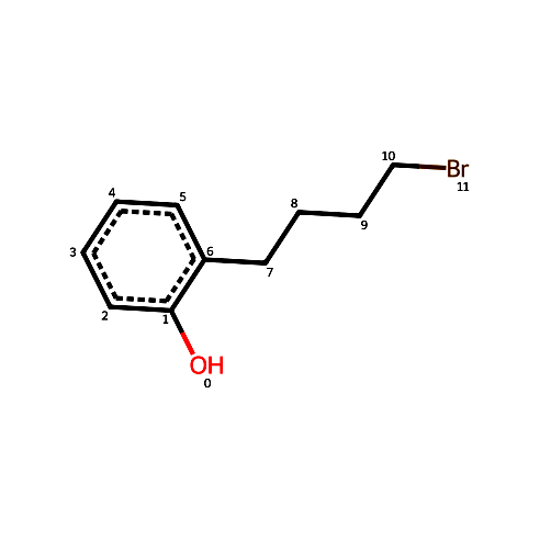 Oc1ccccc1CCCCBr